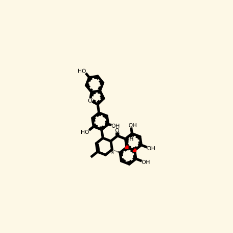 CC1=CC(c2c(O)cc(-c3cc4ccc(O)cc4o3)cc2O)C(C(=O)c2ccc(O)cc2O)[C@H](c2ccc(O)cc2O)C1